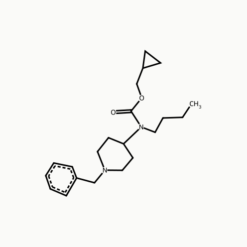 CCCCN(C(=O)OCC1CC1)C1CCN(Cc2ccccc2)CC1